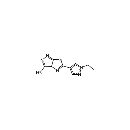 CCn1cc(C2=NC3C(S)=NN=C3S2)cn1